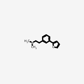 CN(C)CCc1cccc(-c2ccco2)c1